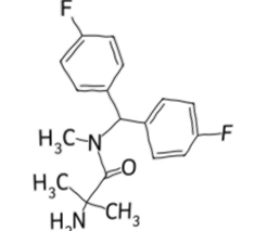 CN(C(=O)C(C)(C)N)C(c1ccc(F)cc1)c1ccc(F)cc1